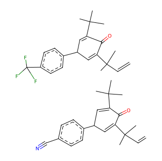 C=CC(C)(C)C1=CC(c2ccc(C#N)cc2)C=C(C(C)(C)C)C1=O.C=CC(C)(C)C1=CC(c2ccc(C(F)(F)F)cc2)C=C(C(C)(C)C)C1=O